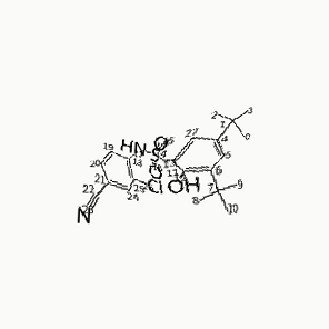 CC(C)(C)c1cc(C(C)(C)C)c(O)c(S(=O)(=O)Nc2ccc(C#N)cc2Cl)c1